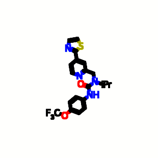 CC(C)N(Cc1cc(-c2nccs2)ccn1)C(=O)Nc1ccc(OC(F)(F)F)cc1